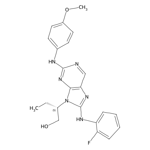 CC[C@@H](CO)n1c(Nc2ccccc2F)nc2cnc(Nc3ccc(OC)cc3)nc21